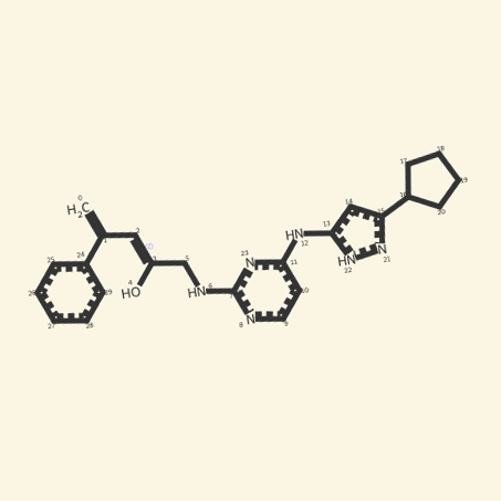 C=C(/C=C(\O)CNc1nccc(Nc2cc(C3CCCC3)n[nH]2)n1)c1ccccc1